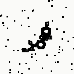 CCOC(=O)C1(Cc2ccc(Cl)cc2)CCCN(C(=O)OC(C)(C)C)C1